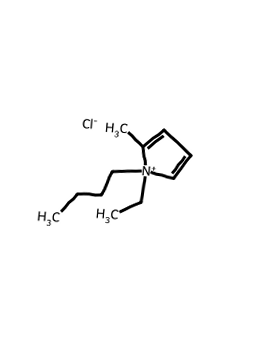 CCCC[N+]1(CC)C=CC=C1C.[Cl-]